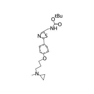 CN(CCCOc1ccc(-c2ncc(CNC(=O)OC(C)(C)C)s2)cc1)C1CC1